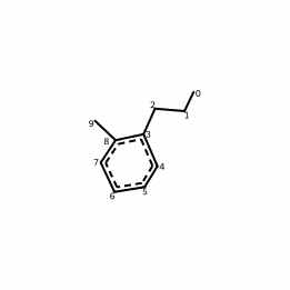 CCCc1ccccc1C